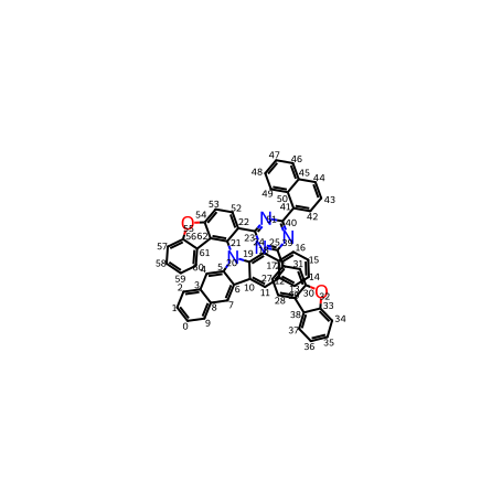 c1ccc2cc3c(cc2c1)c1cc2ccccc2cc1n3-c1c(-c2nc(-c3ccc4c(c3)oc3ccccc34)nc(-c3cccc4ccccc34)n2)ccc2oc3ccccc3c12